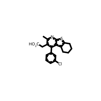 Cc1nc2sc3c(c2c(-c2cccc(Cl)c2)c1CC(=O)O)CCCC3